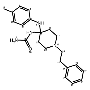 Cc1ccc(NC2(NC(N)=O)CCN(CCc3ccccc3)CC2)cc1